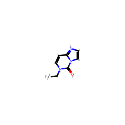 O=c1n(CC(F)(F)F)ccc2nccn12